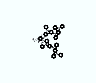 Cc1cc(C)c(B(c2ccc3c(c2)c2cc(-n4c5ccccc5c5ccc6c(c7ccccc7n6-c6ccccc6)c54)ccc2n3-c2ccccc2)c2ccc3c4cc(-n5c6ccccc6c6cc7c(cc65)c5ccccc5n7-c5ccccc5)ccc4n(-c4ccccc4)c3c2)c(C)c1